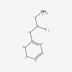 NCC(I)CC1=CC=CCC1